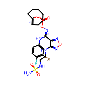 NS(=O)(=O)NCCNc1nonc1/C(=N/OC(=O)O/C1=C\CCCCCC1)Nc1ccc(F)c(Br)c1